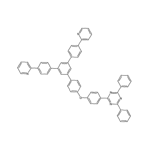 c1ccc(-c2nc(-c3ccccc3)nc(-c3ccc(Oc4ccc(-c5cc(-c6ccc(-c7ccccn7)cc6)cc(-c6ccc(-c7ccccn7)cc6)c5)cc4)cc3)n2)cc1